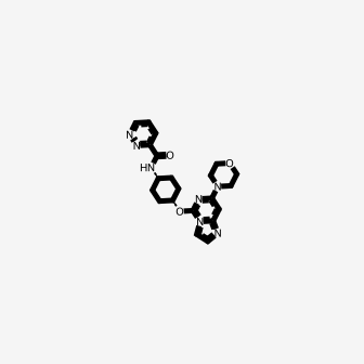 O=C(N[C@H]1CC[C@@H](Oc2nc(N3CCOCC3)cc3nccn23)CC1)c1cccnn1